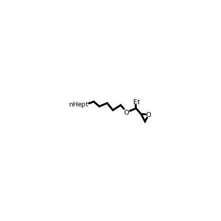 CCCCCCCCCCCCOC(CC)C1CO1